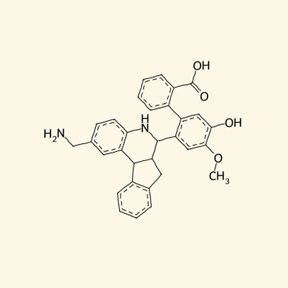 COc1cc(C2Nc3ccc(CN)cc3C3c4ccccc4CC23)c(-c2ccccc2C(=O)O)cc1O